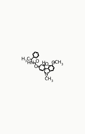 COc1ccc2c3c1O[C@H]1C[C@@H](OC(=O)NC(C)c4ccccc4)C=C[C@@]31CCN(C)C2